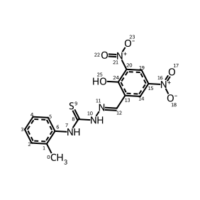 Cc1ccccc1NC(=S)N/N=C/c1cc([N+](=O)[O-])cc([N+](=O)[O-])c1O